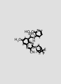 Cc1cc([C@@H](C)Nc2cccnc2C(=O)O)c2nc(N3CC4CC3CC4(F)F)c(C#N)nc2c1